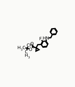 CC(C)(C)OC(=O)C1(Cc2cccc(NCc3ccccc3)c2F)CC1